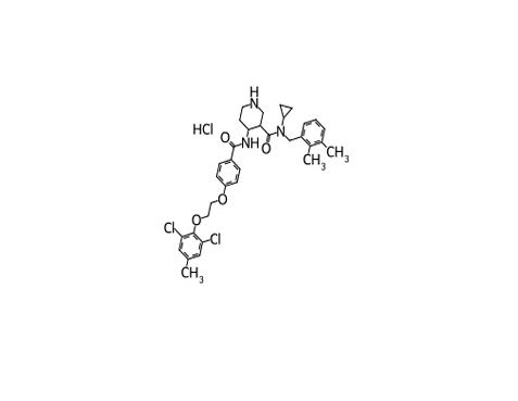 Cc1cc(Cl)c(OCCOc2ccc(C(=O)NC3CCNCC3C(=O)N(Cc3cccc(C)c3C)C3CC3)cc2)c(Cl)c1.Cl